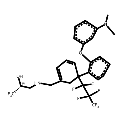 CN(C)c1cccc(Oc2ccccc2C2(C(F)(F)C(F)(F)C(F)(F)F)C=CC=C(CNC[C@@H](O)C(F)(F)F)C2)c1